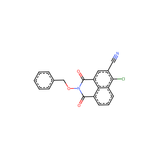 N#Cc1cc2c3c(cccc3c1Cl)C(=O)N(OCc1ccccc1)C2=O